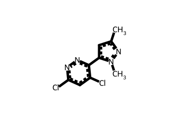 Cc1cc(-c2nnc(Cl)cc2Cl)n(C)n1